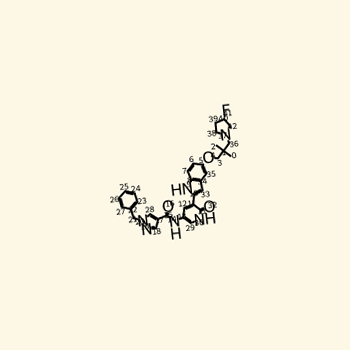 CC(C)(COc1ccc2[nH]c(-c3cc(NC(=O)c4cnn(Cc5ccccc5)c4)c[nH]c3=O)cc2c1)CN1CC[C@H](F)C1